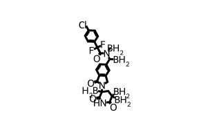 BC(c1ccc2c(c1)CN(C1(B)CC(B)(B)C(=O)NC1=O)C2=O)N(B)C(=O)C(F)(F)c1ccc(Cl)cc1